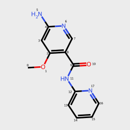 COc1cc(N)ncc1C(=O)Nc1ccccn1